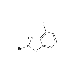 Fc1cccc2c1N[SH](Br)S2